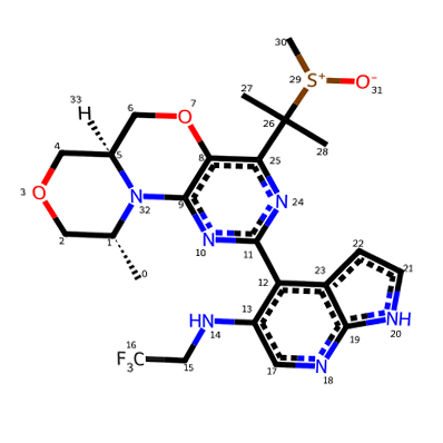 C[C@@H]1COC[C@H]2COc3c(nc(-c4c(NCC(F)(F)F)cnc5[nH]ccc45)nc3C(C)(C)[S+](C)[O-])N21